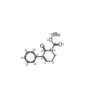 CC(C)(C)OC(=O)N1CCC=C(c2ccccc2)C1=O